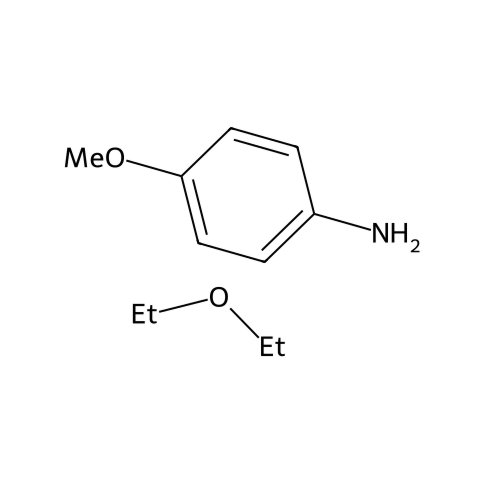 CCOCC.COc1ccc(N)cc1